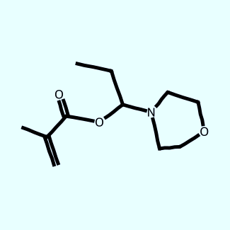 C=C(C)C(=O)OC(CC)N1CCOCC1